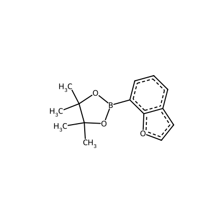 CC1(C)OB(c2cccc3ccoc23)OC1(C)C